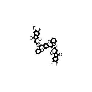 O=C1C(=Cc2nc3c(s2)-c2cc4c(cc2OC32CCCCC2)-c2sc(C=C3C(=O)c5cc(F)c(F)cc5C3=O)nc2C2(CCCCC2)O4)C(=O)c2cc(F)c(F)cc21